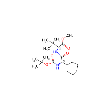 COC(=O)[C@@H](NC(=O)[C@H](NC(=O)OC(C)(C)C)C1CCCCC1)C(C)(C)C